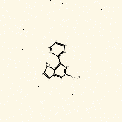 O=C(O)c1cc2nc[nH]c2c(-c2ccccn2)n1